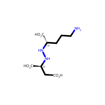 NCCC[C@H](NN[C@@H](CC(=O)O)C(=O)O)C(=O)O